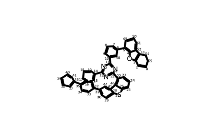 C1=Cc2oc3c(-c4cccc(-c5nc(-c6ccccc6)nc(-c6cccc7sc8ccc(-c9ccc(-c%10ccccc%10)cc9)cc8c67)n5)c4)cccc3c2CC1